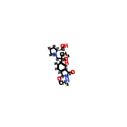 COC1NC(=O)c2cc(C(C)(O)CN3CCC[C@@H]3CO)ccc21